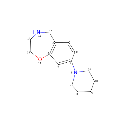 c1cc2c(cc1N1CCCCC1)OCCNC2